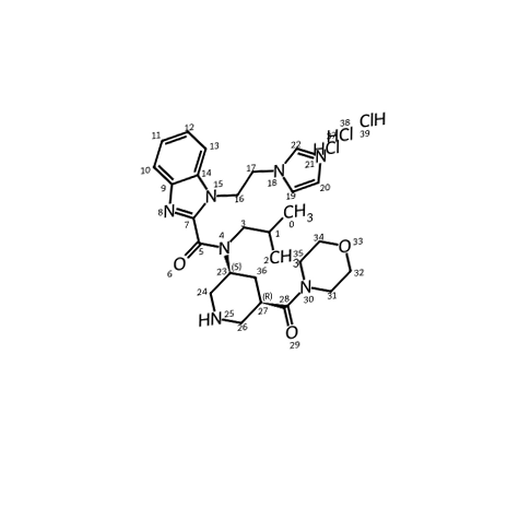 CC(C)CN(C(=O)c1nc2ccccc2n1CCn1ccnc1)[C@@H]1CNC[C@H](C(=O)N2CCOCC2)C1.Cl.Cl.Cl